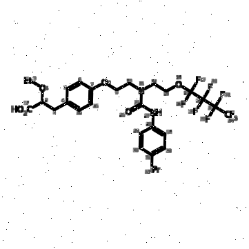 CCOC(Cc1ccc(OCCN(CCOC(F)(F)C(F)(F)C(F)(F)C(F)(F)F)C(=O)Nc2ccc(C(C)C)cc2)cc1)C(=O)O